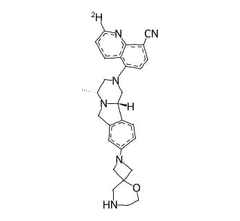 [2H]c1ccc2c(N3C[C@@H](C)N4Cc5cc(N6CC7(CNCCO7)C6)ccc5[C@H]4C3)ccc(C#N)c2n1